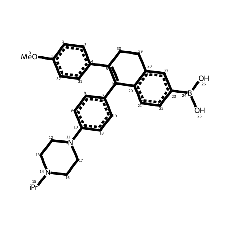 COc1ccc(C2=C(c3ccc(N4CCN(C(C)C)CC4)cc3)c3ccc(B(O)O)cc3CC2)cc1